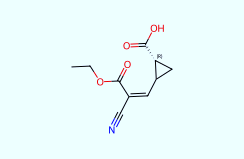 CCOC(=O)C(C#N)=CC1C[C@H]1C(=O)O